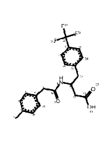 Cc1ccc(CC(=O)NC(CC(=O)O)Cc2ccc(C(F)(F)F)cc2)cc1